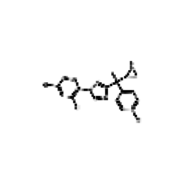 CC([C]1NS1)(c1ccc(Cl)cc1)c1ncn(-c2ccc(Cl)cc2Cl)n1